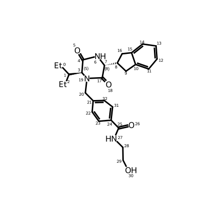 CCC(CC)[C@H]1C(=O)N[C@H](C2Cc3ccccc3C2)C(=O)N1Cc1ccc(C(=O)NCCO)cc1